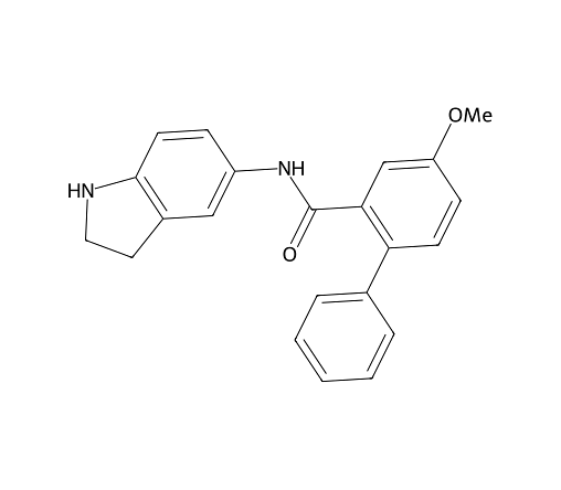 COc1ccc(-c2ccccc2)c(C(=O)Nc2ccc3c(c2)CCN3)c1